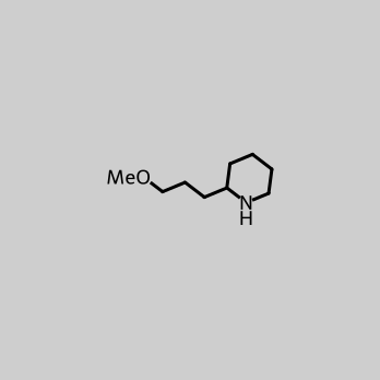 COCCCC1CCCCN1